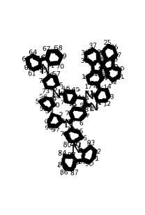 c1ccc(N(c2ccc(-c3nc4cccc(-c5ccc6c(c5)C5(c7ccccc7-c7ccccc75)c5ccccc5-6)c4nc3-c3ccc(N(c4ccccc4)c4ccc(-n5c6ccccc6c6ccccc65)cc4)cc3)cc2)c2ccc(-n3c4ccccc4c4ccccc43)cc2)cc1